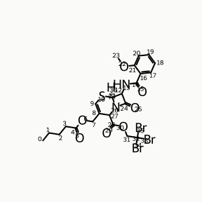 CCCCC(=O)OCC1=CS[C@H]2C(NC(=O)c3ccccc3OC)C(=O)N2C1C(=O)OCC(Br)(Br)Br